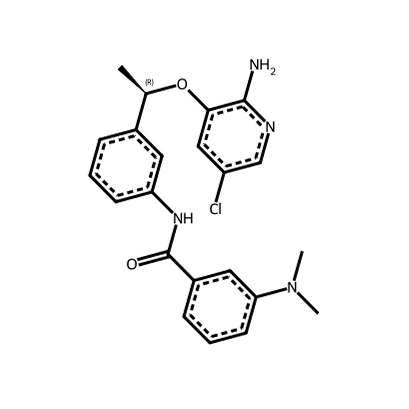 C[C@@H](Oc1cc(Cl)cnc1N)c1cccc(NC(=O)c2cccc(N(C)C)c2)c1